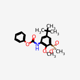 COc1c(NC(=O)Oc2ccccc2)cc(C(C)(C)C)cc1S(C)(=O)=O